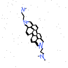 CN(C)CCCN1C=c2ccc3c4ccc5c6c(ccc(c7ccc(c2c37)=C1)c64)=CN(CCCN(C)C)C=5